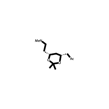 CNCC[C@@H]1C[C@H](CC(C)=O)OC(C)(C)O1